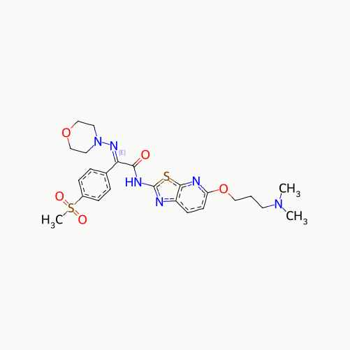 CN(C)CCCOc1ccc2nc(NC(=O)/C(=N/N3CCOCC3)c3ccc(S(C)(=O)=O)cc3)sc2n1